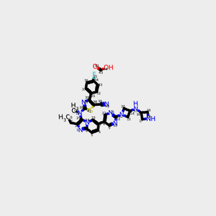 CCc1nc2ccc(-c3cnc(N4CC(NC5CNC5)C4)nc3)cn2c1N(C)c1nc(-c2ccc(F)cc2)c(C#N)s1.O=CO